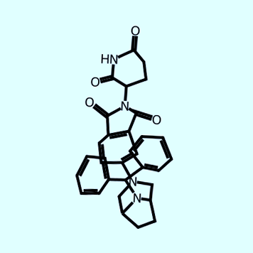 O=C1CCC(N2C(=O)c3ccc(N4CC5CCC(C4)N5C(c4ccccc4)c4ccccc4)cc3C2=O)C(=O)N1